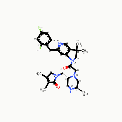 CC1=C(C)C(=O)N(C[C@H]2CN[C@H](C)CN2CC(=O)N2CC(C)(C)c3cnc(Cc4ccc(F)cc4F)cc32)C1